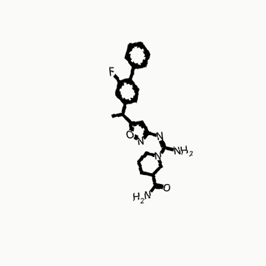 CC(c1ccc(-c2ccccc2)c(F)c1)c1cc(N=C(N)N2CCCC(C(N)=O)C2)no1